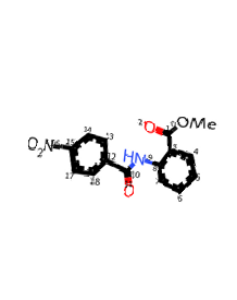 COC(=O)c1ccccc1NC(=O)c1ccc([N+](=O)[O-])cc1